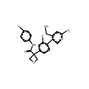 O=C(Nc1ccc(F)cc1)C1(c2ccc(-c3cnc(C(F)(F)F)cc3CO)c(F)c2)COC1